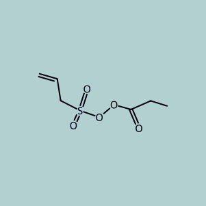 C=CCS(=O)(=O)OOC(=O)CC